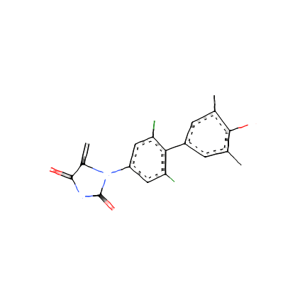 C=C1C(=O)NC(=O)N1c1cc(Cl)c(-c2cc(C(C)(C)C)c(O)c(C(C)(C)C)c2)c(Cl)c1